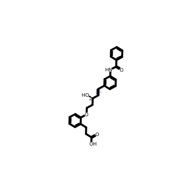 O=C(O)CCc1ccccc1OCC[C@@H](O)/C=C/c1cccc(NC(=O)c2ccccc2)c1